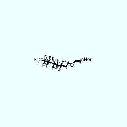 CCCCCCCCCC=COCCC(F)(F)C(F)(F)C(F)(F)C(F)(F)C(F)(F)C(F)(F)F